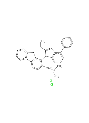 CCC1=Cc2c(-c3ccccc3)cccc2C1c1[c]([Zr+2][SiH](C)C)ccc2c1Cc1ccccc1-2.[Cl-].[Cl-]